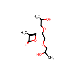 CC(O)COCCOCC(C)O.CC1=COC1=O